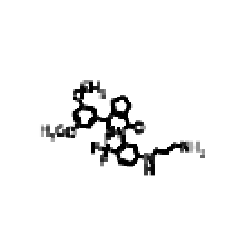 COc1cc(OC)cc(-c2nn(-c3cc(NCCCN)ccc3C(F)(F)F)c(=O)c3c2CCC3)c1